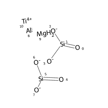 O=[Si]([O-])[O-].O=[Si]([O-])[O-].[Al].[MgH2].[Ti+4]